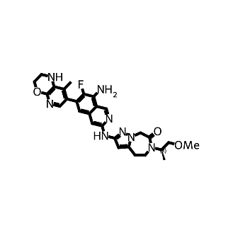 COC[C@@H](C)N1CCc2cc(Nc3cc4cc(-c5cnc6c(c5C)NCCO6)c(F)c(N)c4cn3)nn2CC1=O